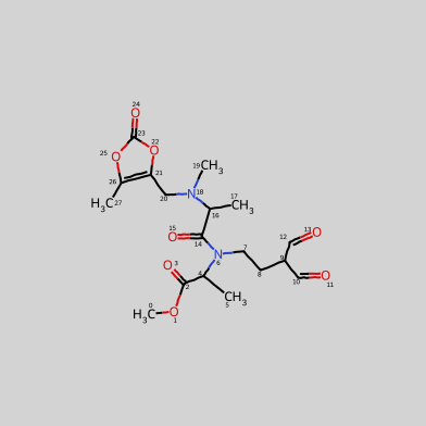 COC(=O)C(C)N(CCC(C=O)C=O)C(=O)C(C)N(C)Cc1oc(=O)oc1C